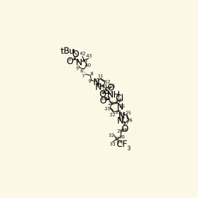 CC(C)(C)OC(=O)N1C[C@@H](CCCn2ccc(S(=O)(=O)NC(=O)c3ccc(-n4ccc(OCCC(C)(C)C(F)(F)F)n4)nc3Cl)n2)CC1(C)C